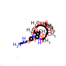 CO[C@H]1/C=C/O[C@@]2(C)Oc3c(C)c(O)c4c(c3C2=O)C2=Nc3ccc(OCCNCCN)cc3OC2=C(NC(=O)/C(C)=C\C=C\[C@H](C)[C@H](O)[C@@H](C)[C@@H](O)[C@@H](C)[C@H](OC(C)=O)[C@@H]1C)C4O